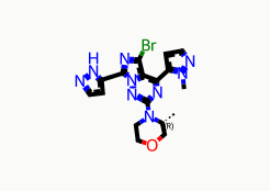 C[C@@H]1COCCN1c1nc(-c2ccnn2C)c2c(Br)nc(-c3ccn[nH]3)n2n1